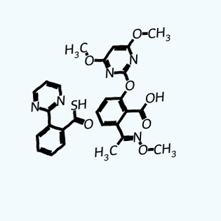 CON=C(C)c1cccc(Oc2nc(OC)cc(OC)n2)c1C(=O)O.O=C(S)c1ccccc1-c1ncccn1